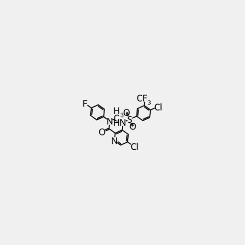 CN(C(=O)c1ncc(Cl)cc1NS(=O)(=O)c1ccc(Cl)c(C(F)(F)F)c1)c1ccc(F)cc1